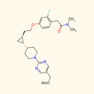 COCc1cnc(N2CCC([C@@H]3C[C@H]3CCOc3ccc(CC(=O)N(C)C)c(F)c3)CC2)nc1